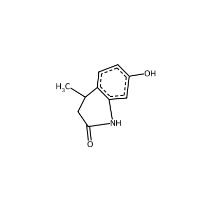 CC1CC(=O)Nc2cc(O)ccc21